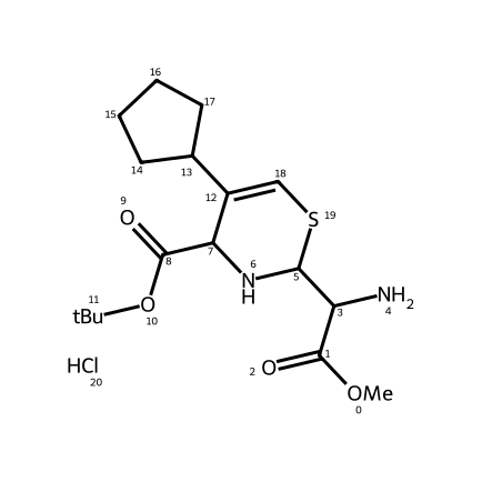 COC(=O)C(N)C1NC(C(=O)OC(C)(C)C)C(C2CCCC2)=CS1.Cl